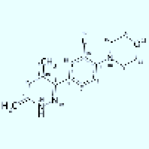 C=C1C[C@@H](C)C(c2ccc(N3CCOCC3)c(Cl)c2)=NN1